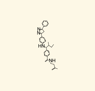 C=C(C)CCNC(=C)c1ccc(C(Nc2ccc(C3=NN=C(c4ccccc4)C3)cc2)C(C)CC)cc1